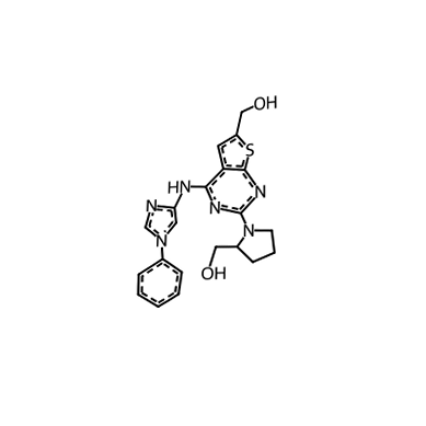 OCc1cc2c(Nc3cn(-c4ccccc4)cn3)nc(N3CCCC3CO)nc2s1